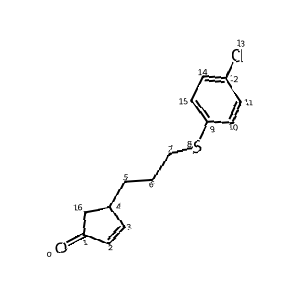 O=C1C=CC(CCCSc2ccc(Cl)cc2)C1